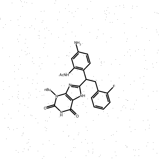 CCCCn1c(=O)[nH]c(=O)c2[nH]c(C(Cc3ccccc3F)c3ccc(N)cc3NC(C)=O)nc21